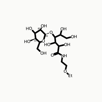 CCOCCNC(=O)C(O)C(O)C(O[C@@H]1OC(CO)[C@@H](O)C(O)[C@H]1O)C(O)CO